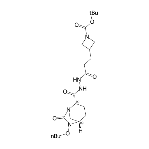 CCCCON1C(=O)N2C[C@@H]1CC[C@H]2C(=O)NNC(=O)CCC1CN(C(=O)OC(C)(C)C)C1